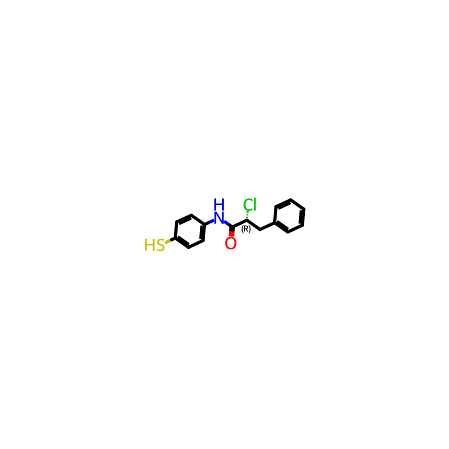 O=C(Nc1ccc(S)cc1)[C@H](Cl)Cc1ccccc1